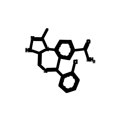 CC1=NNC2=CN=C(c3ccccc3Cl)c3cc(C(N)=O)ccc3N21